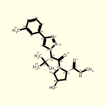 CNC(=O)[C@@H]1C[C@@H](O)CN1C(=O)[C@@H](n1cc(-c2cccc(C)c2)nn1)C(C)(C)C